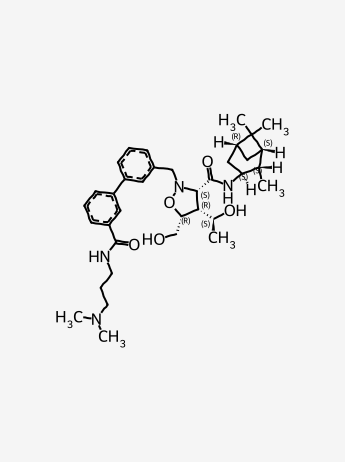 C[C@@H]1[C@@H](NC(=O)[C@@H]2[C@H]([C@H](C)O)[C@H](CO)ON2Cc2cccc(-c3cccc(C(=O)NCCCN(C)C)c3)c2)C[C@H]2C[C@@H]1C2(C)C